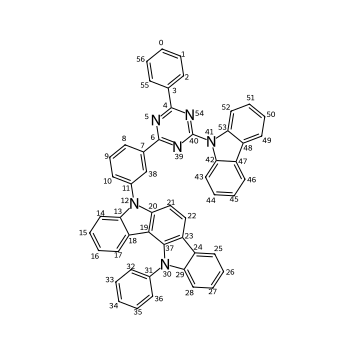 c1ccc(-c2nc(-c3cccc(-n4c5ccccc5c5c4ccc4c6ccccc6n(-c6ccccc6)c45)c3)nc(-n3c4ccccc4c4ccccc43)n2)cc1